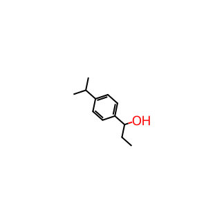 CCC(O)c1ccc(C(C)C)cc1